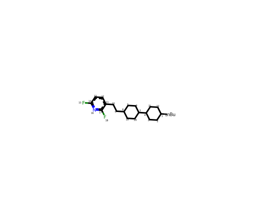 CCCCC1CCC(C2CCC(CCc3ccc(F)nc3F)CC2)CC1